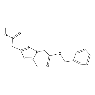 COC(=O)Cc1cc(C)n(CC(=O)OCc2ccccc2)n1